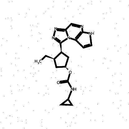 CC[C@@H]1C[C@@H](OC(=O)NC2CC2)C[C@@H]1c1nnc2cnc3[nH]ccc3n12